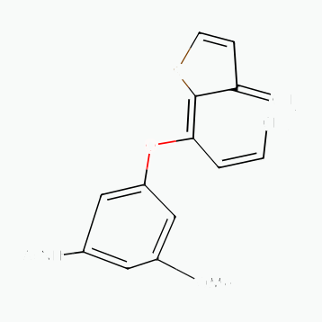 C=c1ccs/c1=C(/C=C\C)Oc1cc(NC(C)=O)cc(OC)c1